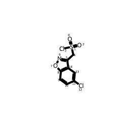 O=S(=O)(Cl)Cc1noc2ccc(Cl)cc12